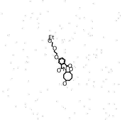 CCOCCOCCOc1ccc2c(c1)C(=O)N(C1CCC(=O)CCCC1=O)C2=O